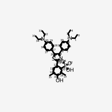 CCN(CC)c1ccc(-c2nc(-c3cc(C)c(O)c(C)c3P(=O)(O)O)sc2-c2ccc(N(CC)CC)cc2)cc1